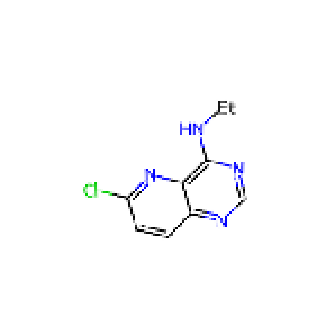 CCNc1ncnc2ccc(Cl)nc12